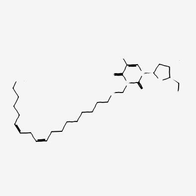 CCCCC/C=C\C/C=C\CCCCCCCCOCn1c(=O)c(F)cn([C@H]2C[C@H](O)[C@@H](CO)O2)c1=O